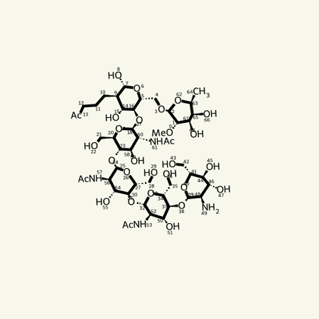 CO[C@@H]1[C@H](OC[C@H]2O[C@@H](O)[C@H](CCCC(C)=O)[C@@H](O)[C@@H]2O[C@@H]2O[C@H](CO)[C@@H](O[C@@H]3O[C@H](CO)[C@@H](O[C@@H]4O[C@H](CO)[C@@H](O[C@@H]5O[C@H](CO)[C@@H](O)[C@H](O)[C@H]5N)[C@H](O)[C@H]4NC(C)=O)[C@H](O)[C@H]3NC(C)=O)[C@H](O)[C@H]2NC(C)=O)O[C@@H](C)[C@@H](O)[C@H]1O